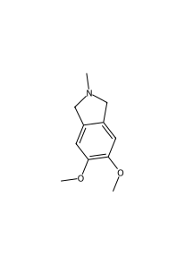 COc1cc2c(cc1OC)CN(C)C2